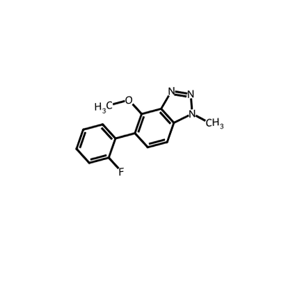 COc1c(-c2ccccc2F)ccc2c1nnn2C